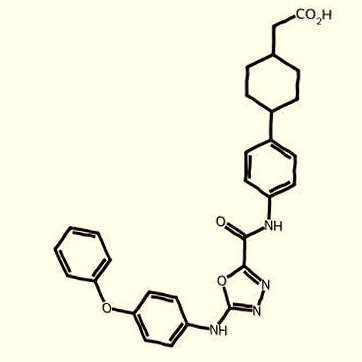 O=C(O)CC1CCC(c2ccc(NC(=O)c3nnc(Nc4ccc(Oc5ccccc5)cc4)o3)cc2)CC1